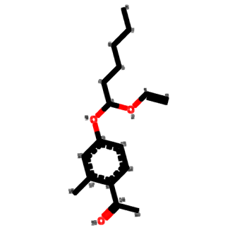 C=COC(CCCCC)Oc1ccc(C(C)=O)c(C)c1